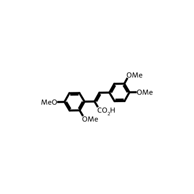 COc1ccc(C(=Cc2ccc(OC)c(OC)c2)C(=O)O)c(OC)c1